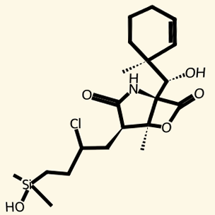 C[C@@]12OC(=O)[C@]1([C@@H](O)[C@]1(C)C=CCCC1)NC(=O)[C@@H]2CC(Cl)CC[Si](C)(C)O